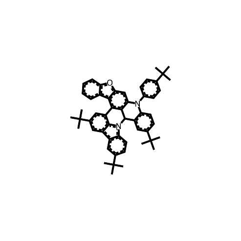 CC(C)(C)c1ccc(N2c3ccc(C(C)(C)C)cc3C3c4c2cc2oc5ccccc5c2c4-c2cc(C(C)(C)C)cc4c5cc(C(C)(C)C)ccc5n3c24)cc1